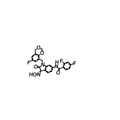 O=C(Nc1ccc2c(c1)N(Cc1cc(F)cc3c1OCOC3)C(=O)/C2=N\O)c1ccc(F)cc1F